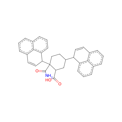 NC(=O)C1(C2C=Cc3cccc4cccc2c34)CCC(C2C=Cc3cccc4cccc2c34)CC1C(=O)O